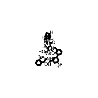 COc1c(CN2O[C@@H](CO)[C@@H]([C@H](C)O)[C@H]2C(=O)N[C@H]2C[C@H]3C[C@@H]([C@@H]2C)C3(C)C)cccc1C1C=C(C(=O)N[C@@H](CN(C)C)C(O)c2ccccc2)C=C(N(C)C)C1